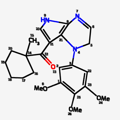 COc1cc(N2CC=Nc3[nH]cc(C(=O)C4(C)CCCCC4)c32)cc(OC)c1OC